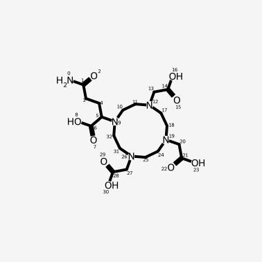 NC(=O)CCC(C(=O)O)N1CCN(CC(=O)O)CCN(CC(=O)O)CCN(CC(=O)O)CC1